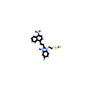 CCSSCC[n+]1c(/C=C/c2ccc(N(C)C)c3ccccc23)n(C)c2cc(Cl)ccc21